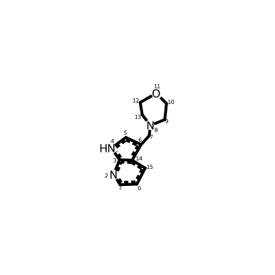 c1cnc2[nH]cc(CN3CCOCC3)c2c1